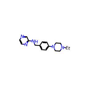 CCN1CCN(c2ccc(CNc3cnccn3)cc2)CC1